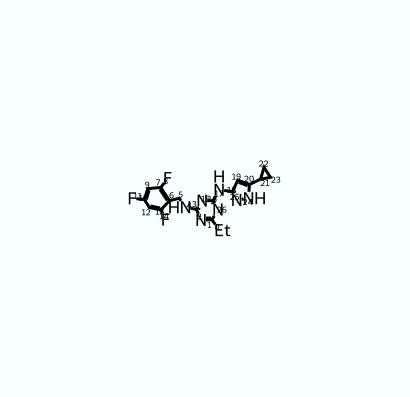 CCc1nc(NCc2c(F)cc(F)cc2F)nc(Nc2cc(C3CC3)[nH]n2)n1